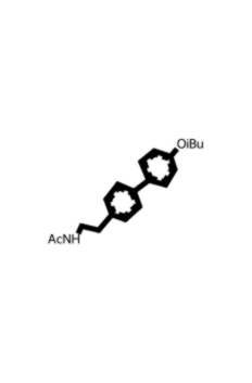 CC(=O)NCCc1ccc(-c2ccc(OCC(C)C)cc2)cc1